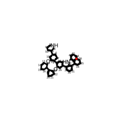 C1=CNCC(c2ccc3c(c2)OC2C=CC=CC2c2ccccc2Oc2cc(-c4cccc(-c5ccccc5)c4Nc4ccccc4)ccc2-3)=C1